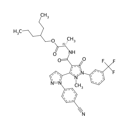 CCCC(CCC)COC(=O)[C@H](C)NC(=O)c1c(-c2ccnn2-c2ccc(C#N)cc2)n(C)n(-c2cccc(C(F)(F)F)c2)c1=O